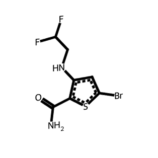 NC(=O)c1sc(Br)cc1NCC(F)F